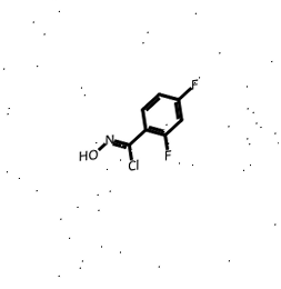 O/N=C(\Cl)c1ccc(F)cc1F